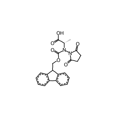 C[C@@H](C(=O)O)N(C(=O)OCC1c2ccccc2-c2ccccc21)N1C(=O)CCC1=O